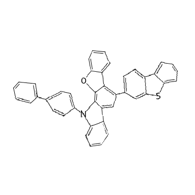 c1ccc(-c2ccc(-n3c4ccccc4c4cc(-c5ccc6c(c5)sc5ccccc56)c5c6ccccc6oc5c43)cc2)cc1